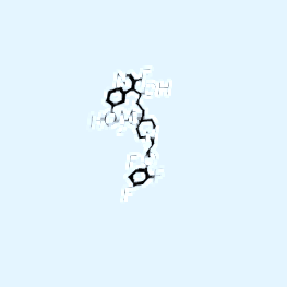 COc1ccc2ncc(F)c(C(O)CCC3(C(=O)O)CCN(CCOc4c(F)cc(F)cc4F)CC3)c2c1